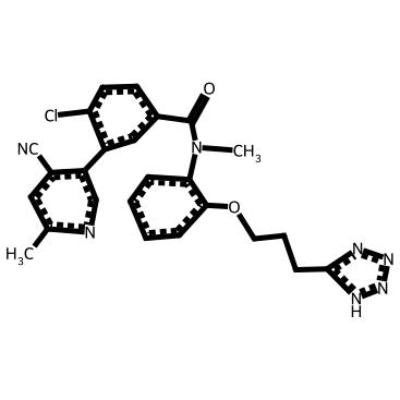 Cc1cc(C#N)c(-c2cc(C(=O)N(C)c3ccccc3OCCCc3nnn[nH]3)ccc2Cl)cn1